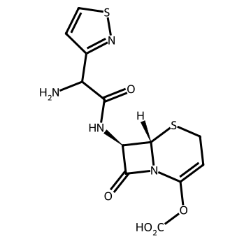 NC(C(=O)N[C@@H]1C(=O)N2C(OC(=O)O)=CCS[C@@H]12)c1ccsn1